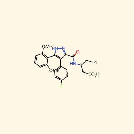 COc1cccc(OC)c1-c1[nH]nc(C(=O)N[C@H](CC(=O)O)CC(C)C)c1-c1ccc(F)cc1